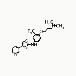 CN(C)CCCOc1ccc(Nc2nc(-c3cccnc3)cs2)cc1C(F)(F)F